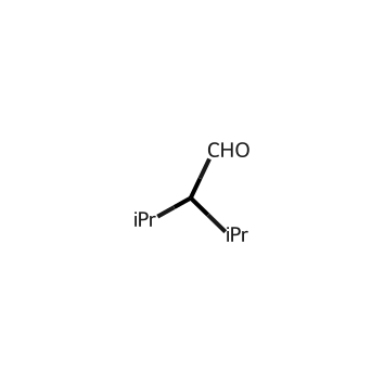 [CH2]C(C)C(C=O)C(C)C